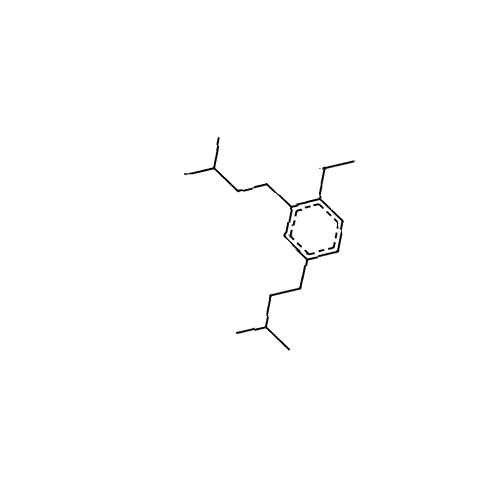 C[CH]c1ccc(CCC(C)C)cc1CCC(C)C